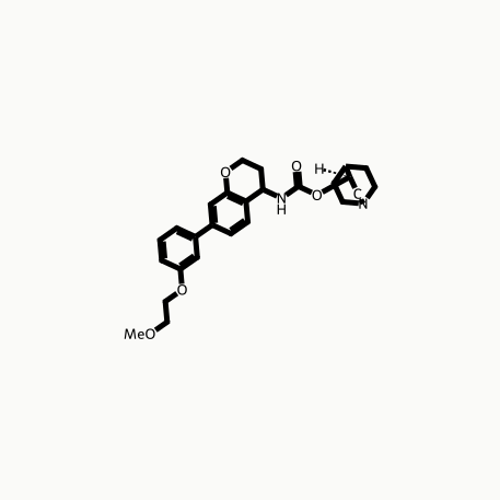 COCCOc1cccc(-c2ccc3c(c2)OCCC3NC(=O)O[C@@H]2CN3CCC2CC3)c1